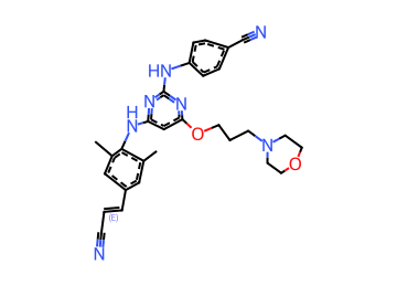 Cc1cc(/C=C/C#N)cc(C)c1Nc1cc(OCCCN2CCOCC2)nc(Nc2ccc(C#N)cc2)n1